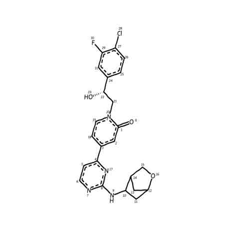 O=c1cc(-c2ccnc(NC3CC4CC3CO4)n2)ccn1C[C@H](O)c1ccc(Cl)c(F)c1